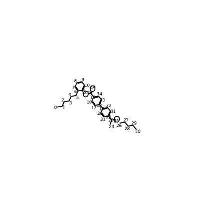 CCCCCCc1ccccc1OC(=O)c1ccc(-c2ccc(C(C)OCCCCC)cc2)cc1